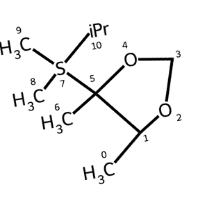 CC1OCOC1(C)S(C)(C)C(C)C